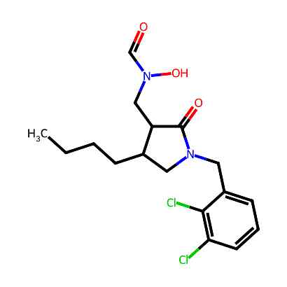 CCCCC1CN(Cc2cccc(Cl)c2Cl)C(=O)C1CN(O)C=O